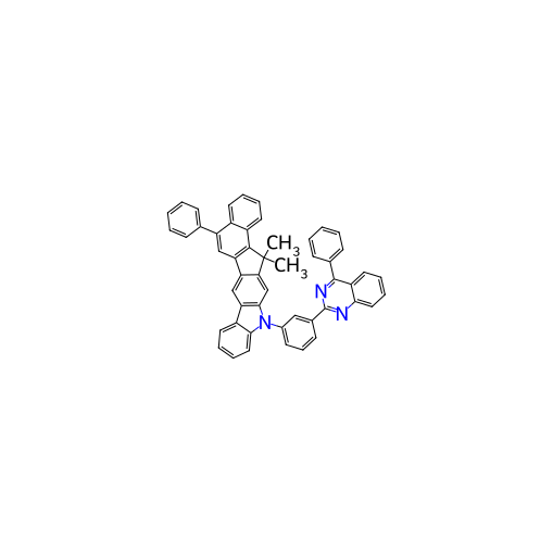 CC1(C)c2cc3c(cc2-c2cc(-c4ccccc4)c4ccccc4c21)c1ccccc1n3-c1cccc(-c2nc(-c3ccccc3)c3ccccc3n2)c1